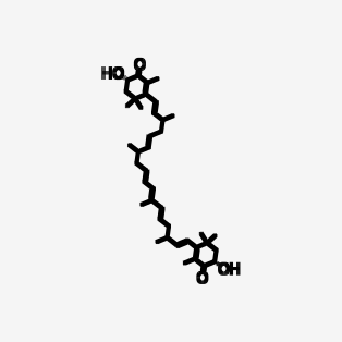 CC1=C(/C=C/C(C)C/C=C/C(C)=C/C=C/CC(C)/C=C/CC(C)/C=C/C2=C(C)C(=O)[C@@H](O)CC2(C)C)C(C)(C)C[C@H](O)C1=O